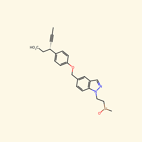 CC#C[C@@H](CC(=O)O)c1ccc(OCc2ccc3c(cnn3CC[S+](C)[O-])c2)cc1